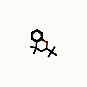 CC1(C)CC(C(C)(C)C)Sc2ccccc21